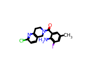 Cc1cc(I)c(N)c(C(=O)N2CCc3nc(Cl)ccc3C2)c1